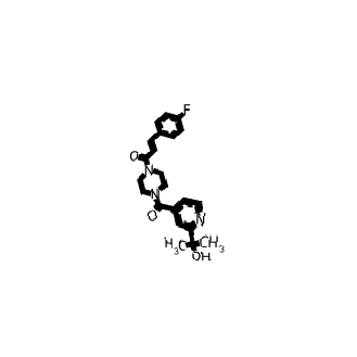 CC(C)(O)c1cc(C(=O)N2CCN(C(=O)/C=C/c3ccc(F)cc3)CC2)ccn1